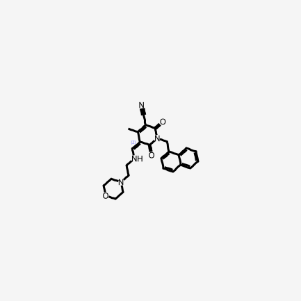 CC1=C(C#N)C(=O)N(Cc2cccc3ccccc23)C(=O)/C1=C\NCCN1CCOCC1